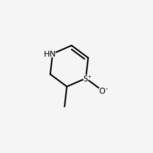 CC1CNC=C[S+]1[O-]